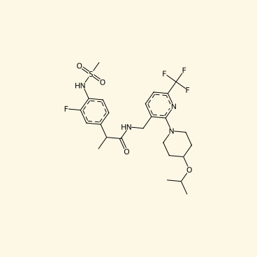 CC(C)OC1CCN(c2nc(C(F)(F)F)ccc2CNC(=O)C(C)c2ccc(NS(C)(=O)=O)c(F)c2)CC1